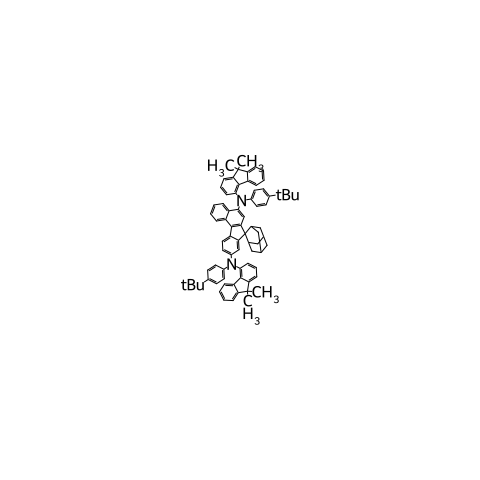 CC(C)(C)c1ccc(N(c2ccc3c(c2)C2(c4cc(N(c5ccc(C(C)(C)C)cc5)c5cccc6c5-c5ccccc5C6(C)C)c5ccccc5c4-3)C3CC4CC(C3)CC2C4)c2cccc3c2-c2ccccc2C3(C)C)cc1